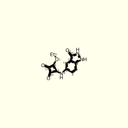 CCOc1c(Nc2ccc3[nH][nH]c(=O)c3c2)c(=O)c1=O